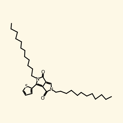 CCCCCCCCCCCCN1C=C2C(=O)N(CCCCCCCCCCCC)C(c3cccs3)=C2C1=O